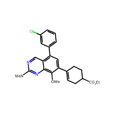 CCOC(=O)C1CC=C(c2cc(-c3cccc(Cl)c3)c3cnc(NC)nc3c2OC)CC1